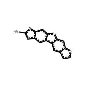 CCCCc1cc2cc3c(cc2s1)sc1cc2sccc2cc13